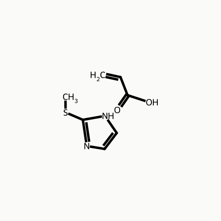 C=CC(=O)O.CSc1ncc[nH]1